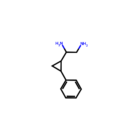 NCC(N)C1CC1c1ccccc1